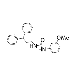 COc1cccc(NC(=O)NCCC(c2ccccc2)c2ccccc2)c1